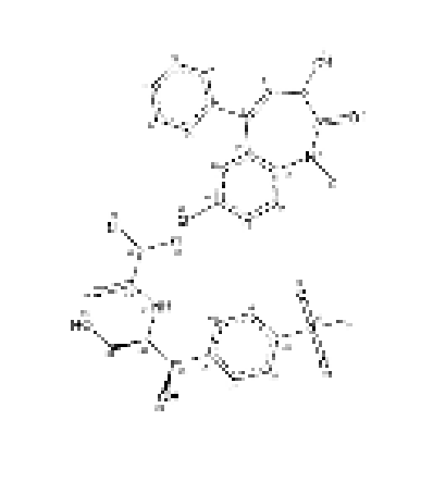 CN1C(=O)C(O)N=C(c2ccccc2)c2cc(Cl)ccc21.CS(=O)(=O)c1ccc([C@@H](O)[C@@H](CO)NC(=O)C(Cl)Cl)cc1